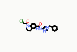 O=C(Nc1cn(Cc2ccccc2)cn1)c1ccc2c(c1)CCCN2C(=O)CCl